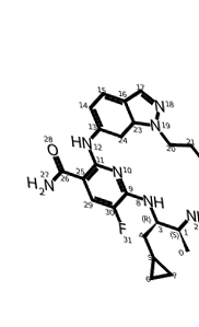 C[C@H](N)[C@@H](CC1CC1)Nc1nc(NC2=CC=C3C=NN(CCF)C3C2)c(C(N)=O)cc1F